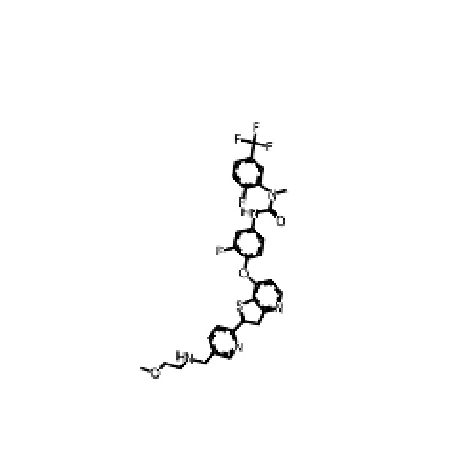 COCCNCc1ccc(C2Cc3nccc(Oc4ccc(NC(=O)N(C)c5cc(C(F)(F)F)ccc5F)cc4F)c3S2)nc1